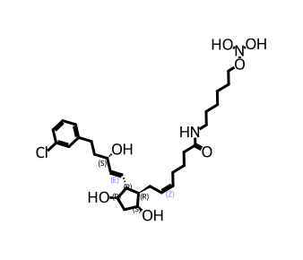 O=C(CCC/C=C\C[C@@H]1[C@@H](/C=C/[C@@H](O)CCc2cccc(Cl)c2)[C@H](O)C[C@@H]1O)NCCCCCCON(O)O